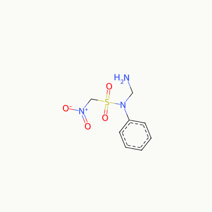 NCN(c1ccccc1)S(=O)(=O)C[N+](=O)[O-]